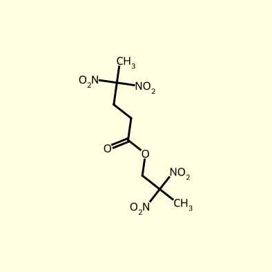 CC(CCC(=O)OCC(C)([N+](=O)[O-])[N+](=O)[O-])([N+](=O)[O-])[N+](=O)[O-]